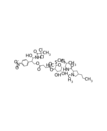 CCCC1CC(C(=O)NC(C(C)Cl)[C@H]2O[C@](C)(SC)[C@H](OC(=O)CCC(=O)OCC(c3ccc([N+](=O)[O-])cc3)C(O)NC(=O)C(C)(Cl)Cl)[C@@H](O)[C@H]2O)N(C)C1